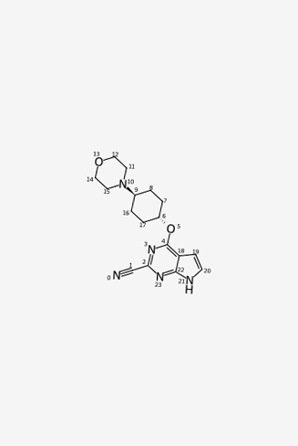 N#Cc1nc(O[C@H]2CC[C@H](N3CCOCC3)CC2)c2cc[nH]c2n1